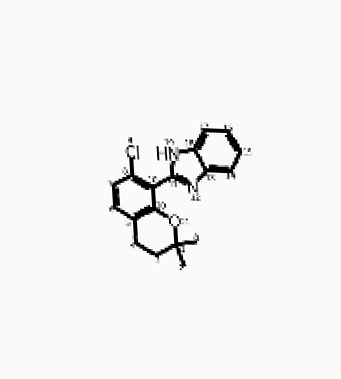 CC1(C)CCc2ccc(Cl)c(-c3nc4ccccc4[nH]3)c2O1